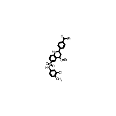 CCOC1CC(c2ccc(C(=O)C(C)C)cc2)Nc2ccc(S(=O)(=O)Nc3ccc(C)c(Cl)c3)cc21